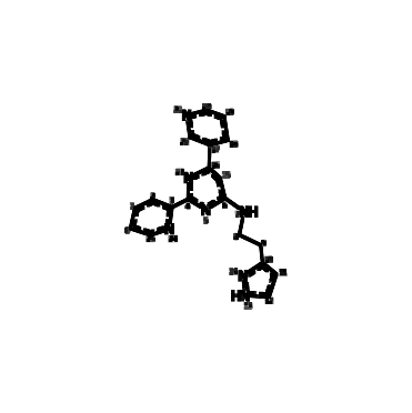 c1ccc(-c2nc(NCCc3cc[nH]n3)cc(-c3cccnc3)n2)nc1